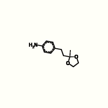 CC1(CCc2ccc(N)cc2)OCCO1